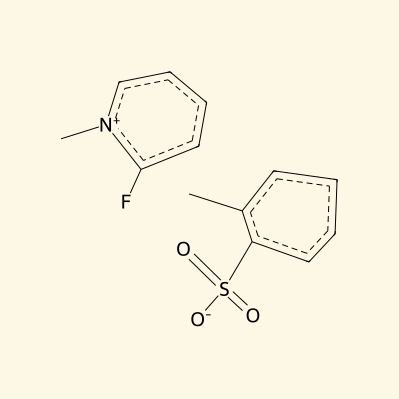 C[n+]1ccccc1F.Cc1ccccc1S(=O)(=O)[O-]